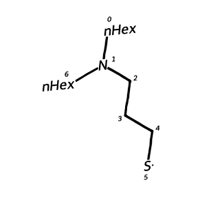 CCCCCCN(CCC[S])CCCCCC